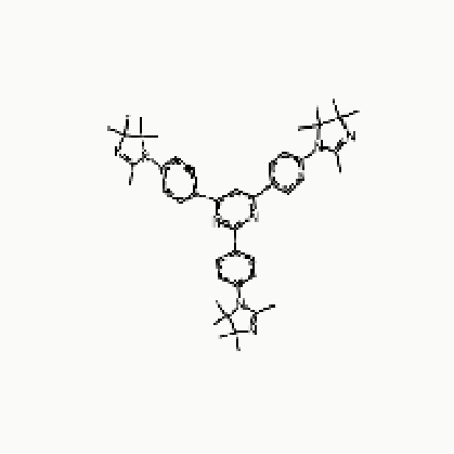 CC1=NC(C)(C)C(C)(C)N1c1ccc(-c2cc(-c3ccc(N4C(C)=NC(C)(C)C4(C)C)cc3)nc(-c3ccc(N4C(C)=NC(C)(C)C4(C)C)cc3)n2)cc1